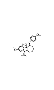 COc1ccc(/C=C2\CCCCC(CN(C)C)C2(O)c2ccc(OC)cc2)cc1